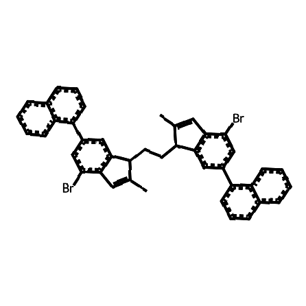 CC1=Cc2c(Br)cc(-c3cccc4ccccc34)cc2C1CCC1C(C)=Cc2c(Br)cc(-c3cccc4ccccc34)cc21